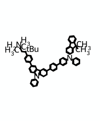 CC(C)(N)CC(c1ccc(-c2ccc3c(c2)c2c(n3-c3ccccc3)CCC(c3ccc(-c4ccc(N(c5ccccc5)c5ccc6c(c5)C(C)(C)c5ccccc5-6)cc4)cc3)=C2)cc1)C(C)(C)C